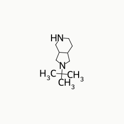 CC(C)(C)N1CC2CCNCC2C1